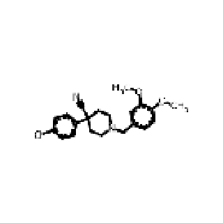 COc1ccc(CN2CCC(C#N)(c3ccc(Cl)cc3)CC2)cc1OC